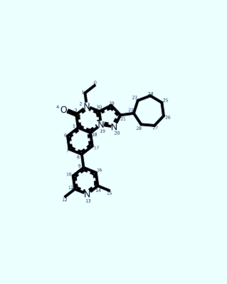 CCn1c(=O)c2ccc(-c3cc(C)nc(C)c3)cc2n2nc(C3CCCCCC3)cc12